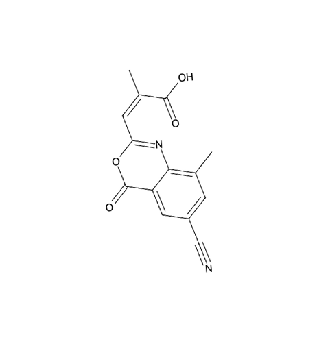 CC(=Cc1nc2c(C)cc(C#N)cc2c(=O)o1)C(=O)O